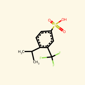 CC(C)c1ccc(S(=O)(=O)O)cc1C(F)(F)F